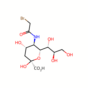 O=C(CBr)N[C@H]1[C@H]([C@H](O)[C@H](O)CO)O[C@](O)(C(=O)O)C[C@@H]1O